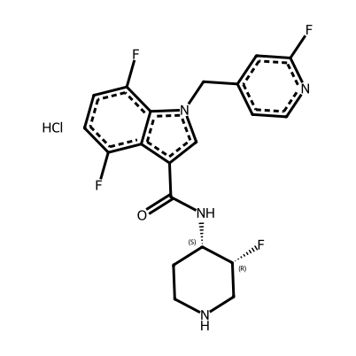 Cl.O=C(N[C@H]1CCNC[C@H]1F)c1cn(Cc2ccnc(F)c2)c2c(F)ccc(F)c12